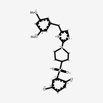 COc1cc(Cc2csc(N3CCC(S(=O)(=O)c4cc(Cl)ccc4Cl)CC3)n2)cc(OC)c1